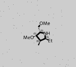 CC[C@@H]1N[C@@H](COC)[C@@H](OC)[C@@H]1C